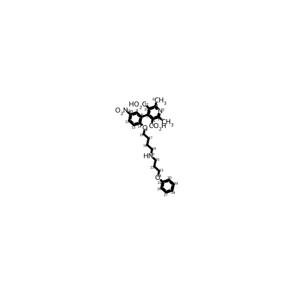 Cc1nc(C)c(C(=O)O)c(-c2cc([N+](=O)[O-])ccc2OCCCCNCCCOc2ccccc2)c1C(=O)O